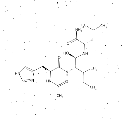 CCC(C)[C@H](NC(=O)[C@H](Cc1c[nH]cn1)NC(C)=O)[C@@H](O)N[C@@H](CC(C)C)C(N)=O